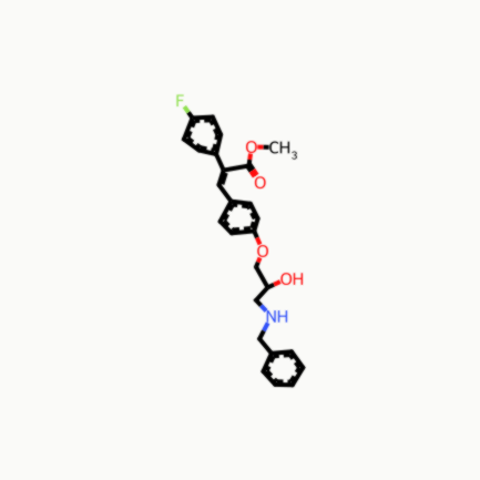 COC(=O)C(=Cc1ccc(OCC(O)CNCc2ccccc2)cc1)c1ccc(F)cc1